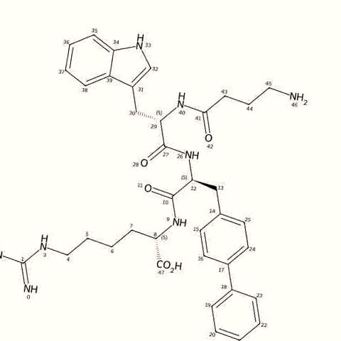 N=C(N)NCCCC[C@H](NC(=O)[C@H](Cc1ccc(-c2ccccc2)cc1)NC(=O)[C@H](Cc1c[nH]c2ccccc12)NC(=O)CCCN)C(=O)O